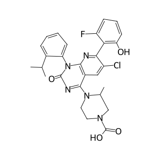 CC(C)c1ccccc1-n1c(=O)nc(N2CCN(C(=O)O)CC2C)c2cc(Cl)c(-c3c(O)cccc3F)nc21